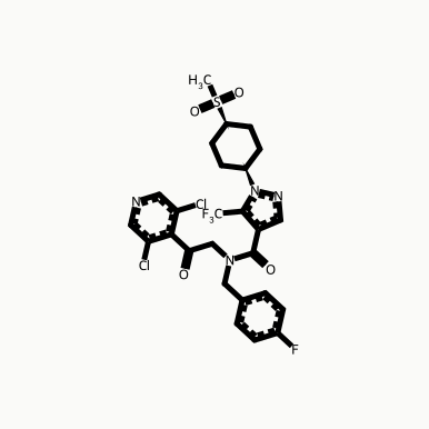 CS(=O)(=O)[C@H]1CC[C@@H](n2ncc(C(=O)N(CC(=O)c3c(Cl)cncc3Cl)Cc3ccc(F)cc3)c2C(F)(F)F)CC1